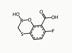 O=C(O)c1c(F)ccc2c1OB(O)CS2